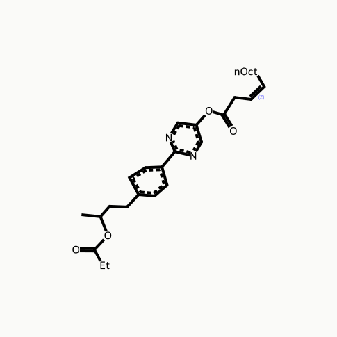 CCCCCCCC/C=C\CC(=O)Oc1cnc(-c2ccc(CCC(C)OC(=O)CC)cc2)nc1